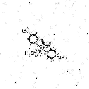 CC1=Cc2cc(C(C)(C)C)ccc2[CH]1[Zr]([CH3])([CH3])(=[SiH2])[CH]1C(C)=Cc2cc(C(C)(C)C)ccc21